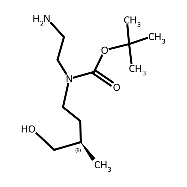 C[C@@H](CO)CCN(CCN)C(=O)OC(C)(C)C